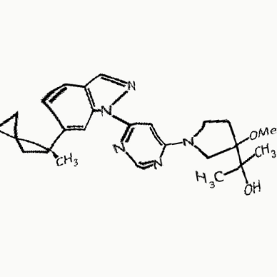 COC1(C(C)(C)O)CCN(c2cc(-n3ncc4ccc([C@]5(C)CC56CC6)cc43)ncn2)C1